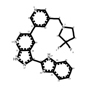 FC1(F)CCN(Cc2cncc(-c3cnc4[nH]nc(-c5nc6ccccc6[nH]5)c4c3)c2)C1